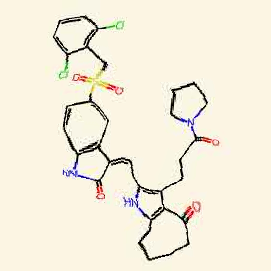 O=C1Nc2ccc(S(=O)(=O)Cc3c(Cl)cccc3Cl)cc2/C1=C/c1[nH]c2c(c1CCC(=O)N1CCCC1)C(=O)CCCC2